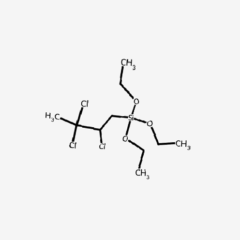 CCO[Si](CC(Cl)C(C)(Cl)Cl)(OCC)OCC